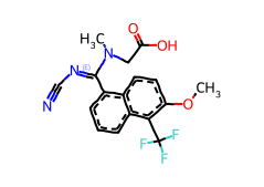 COc1ccc2c(/C(=N\C#N)N(C)CC(=O)O)cccc2c1C(F)(F)F